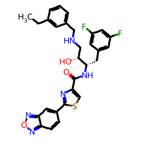 CCc1cccc(CNC[C@@H](O)[C@H](Cc2cc(F)cc(F)c2)NC(=O)c2csc(-c3ccc4nonc4c3)n2)c1